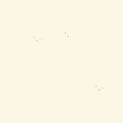 N.Nc1ccc(F)cc1-c1ccccn1